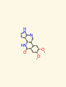 COc1cc2c(=O)[nH]c3c4cc[nH]c4ncc3c2cc1OC